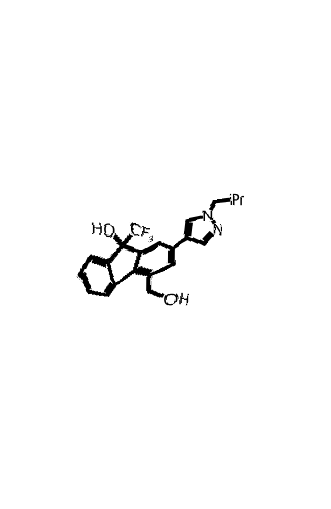 CC(C)Cn1cc(-c2cc(CO)c3c(c2)C(O)(C(F)(F)F)c2ccccc2-3)cn1